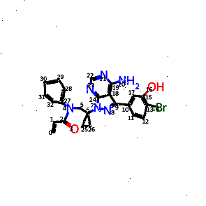 C=CC(=O)N(CC1(n2nc(-c3ccc(Br)c(O)c3)c3c(N)ncnc32)CC1)c1ccccc1